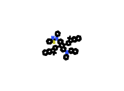 CC1(C)c2cc(-c3c4ccc(N(c5ccccc5)c5nc6ccccc6s5)cc4c(-c4ccc5c(c4)C(C)(C)c4cc6ccccc6cc4-5)c4ccc(N(c5ccccc5)c5ccc6ccccc6c5)cc34)ccc2-c2cc3ccccc3cc21